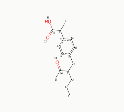 CCCC(Cc1ccc(C(C)C(=O)O)cc1)C(C)=O